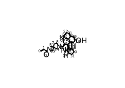 C=CC(=O)N1CC2(CCN(c3nc4c(c(-c5cc(O)cc6ccccc56)c3C#N)[C@H]3CC[C@@H]4C3)C2)C1